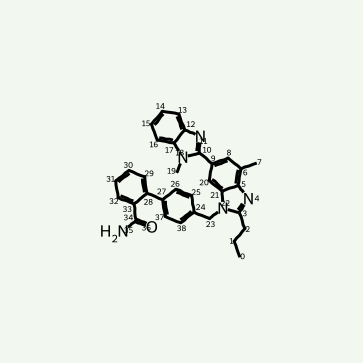 CCCc1nc2c(C)cc(-c3nc4ccccc4n3C)cc2n1Cc1ccc(-c2ccccc2C(N)=O)cc1